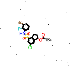 CC(C)(C)C(=O)O[C@@H]1CCc2c1cc(Cl)cc2S(=O)(=O)Nc1cccc(Br)c1F